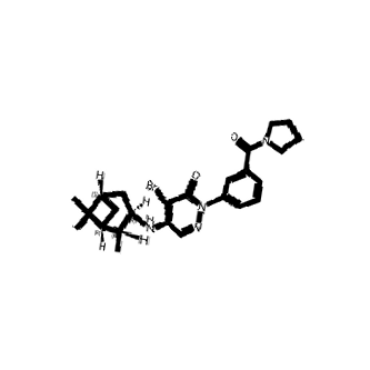 C[C@@H]1[C@H]2C[C@@H](C[C@H]1Nc1cnn(-c3cccc(C(=O)N4CCCC4)c3)c(=O)c1Br)C2(C)C